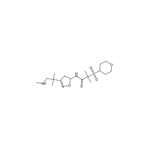 CNCC(C)(C)C1=NOC(NC(=O)C(C)(C)S(=O)(=O)C2CCOCC2)C1